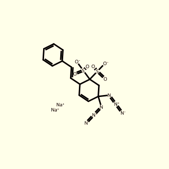 [N-]=[N+]=NC1(N=[N+]=[N-])C=CC(C=Cc2ccccc2)C(S(=O)(=O)[O-])(S(=O)(=O)[O-])C1.[Na+].[Na+]